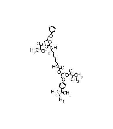 C=C(C)C(=O)OCC(COc1ccccc1)OC(=O)NCCCCCCNC(=O)OC(COC(=O)C(=C)C)COc1ccc(C(C)(C)C)cc1